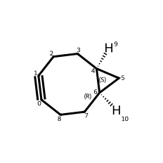 C1#CCC[C@H]2C[C@H]2CC1